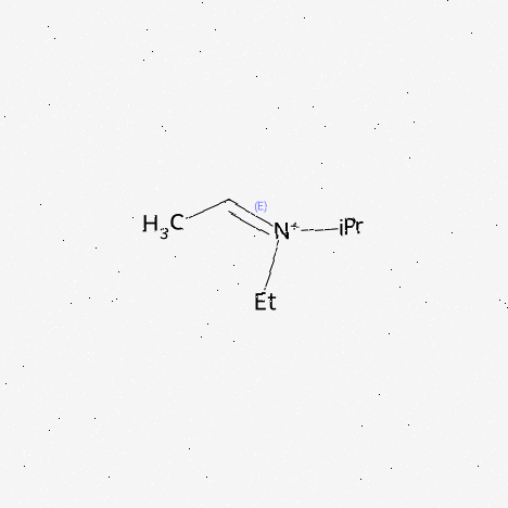 C/C=[N+](\CC)C(C)C